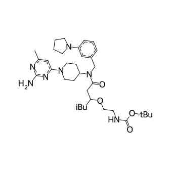 CCC(C)C(CC(=O)N(Cc1cccc(N2CCCC2)c1)C1CCN(c2cc(C)nc(N)n2)CC1)OCCNC(=O)OC(C)(C)C